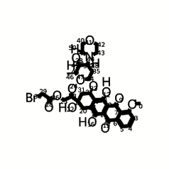 COc1cccc2c1C(=O)c1c(O)c3c(c(O)c1C2=O)C[C@@](O)(C(=O)COC(=O)CBr)C[C@@H]3O[C@H]1C[C@H]2[C@H](O[C@@H]3COCCN32)[C@H](C)O1